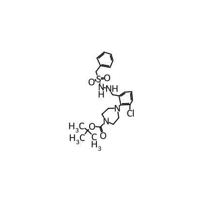 CC(C)(C)OC(=O)N1CCN(c2c(Cl)cccc2CNNS(=O)(=O)Cc2ccccc2)CC1